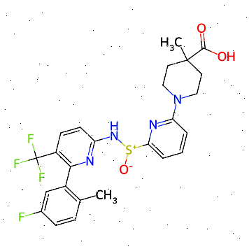 Cc1ccc(F)cc1-c1nc(N[S+]([O-])c2cccc(N3CCC(C)(C(=O)O)CC3)n2)ccc1C(F)(F)F